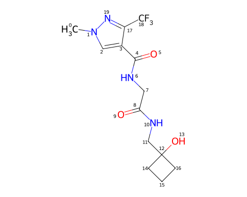 Cn1cc(C(=O)NCC(=O)NCC2(O)CCC2)c(C(F)(F)F)n1